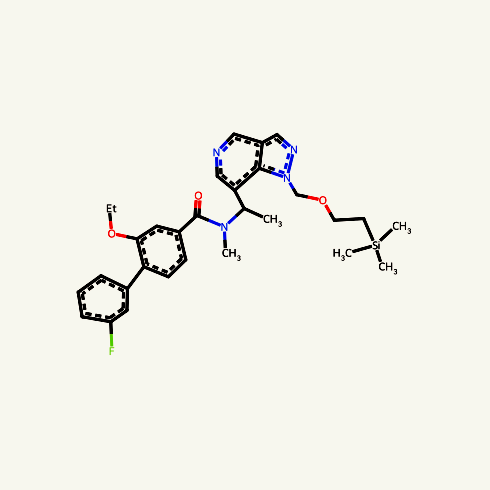 CCOc1cc(C(=O)N(C)C(C)c2cncc3cnn(COCC[Si](C)(C)C)c23)ccc1-c1cccc(F)c1